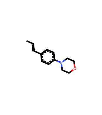 CC=Cc1ccc(N2CCOCC2)cc1